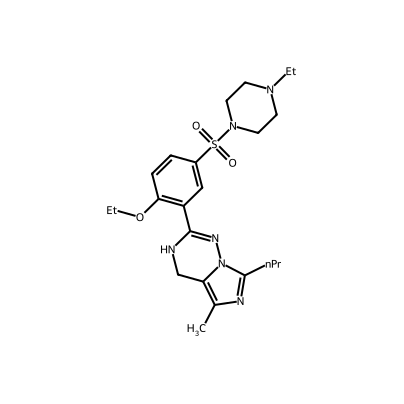 CCCc1nc(C)c2n1N=C(c1cc(S(=O)(=O)N3CCN(CC)CC3)ccc1OCC)NC2